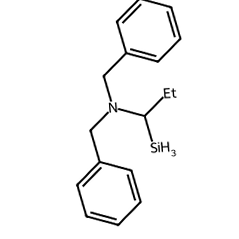 CCC([SiH3])N(Cc1ccccc1)Cc1ccccc1